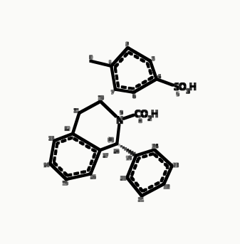 Cc1ccc(S(=O)(=O)O)cc1.O=C(O)N1CCc2ccccc2[C@H]1c1ccccc1